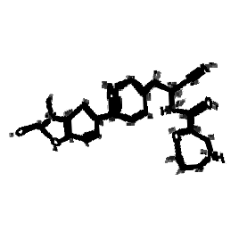 Cn1c(=O)oc2ccc(-c3ccc(C[C@@H](C#N)NC(=O)C4CNCCCO4)cn3)cc21